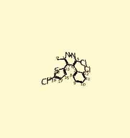 Cc1nnc(Cl)c(-c2ccccc2Cl)c1-c1ccc(Cl)s1